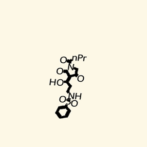 CCCC(=O)N1CC(=O)/C(=C(/O)CCNS(=O)(=O)c2ccccc2)C1=O